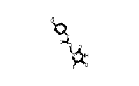 COc1ccc(OC(=O)OCn2cc(F)c(=O)[nH]c2=O)cc1